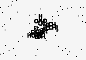 CC[C@H](CC(CC)(CC)OP(=O)(O)C(O)(CC)CC)[C@H]1OC(C)(C)O[C@H]1n1ccc(=O)[nH]c1=O